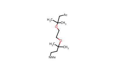 CNCCC(C)(C)OCCOC(C)(C)CC(C)=O